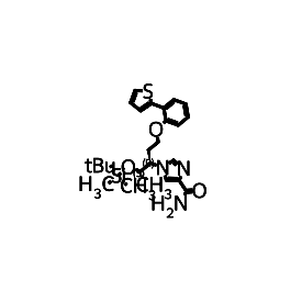 C[C@H](O[Si](C)(C)C(C)(C)C)[C@@H](CCOc1ccccc1-c1cccs1)n1cnc(C(N)=O)c1